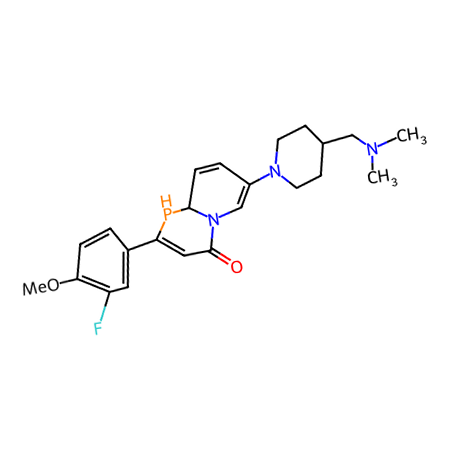 COc1ccc(C2=CC(=O)N3C=C(N4CCC(CN(C)C)CC4)C=CC3P2)cc1F